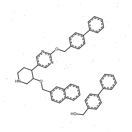 OCc1ccc(-c2ccccc2)cc1.c1ccc(-c2ccc(COc3ncc(C4CCNCC4OCc4ccc5ccccc5c4)cn3)cc2)cc1